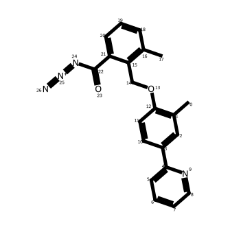 Cc1cc(-c2ccccn2)ccc1OCc1c(C)cccc1C(=O)N=[N+]=[N-]